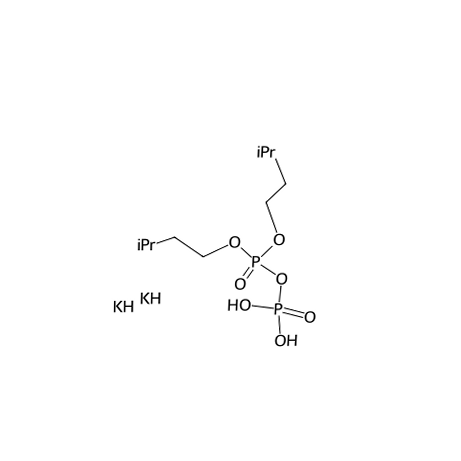 CC(C)CCOP(=O)(OCCC(C)C)OP(=O)(O)O.[KH].[KH]